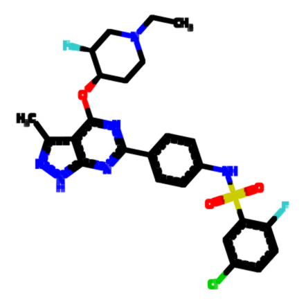 CCN1CC[C@@H](Oc2nc(-c3ccc(NS(=O)(=O)c4cc(Cl)ccc4F)cc3)nc3[nH]nc(C)c23)[C@@H](F)C1